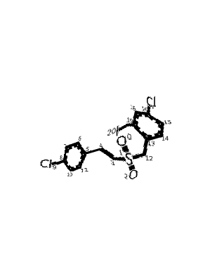 O=S(=O)(C=Cc1ccc(Cl)cc1)Cc1ccc(Cl)cc1I